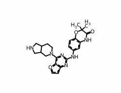 CC1(C)Oc2ccc(Nc3nc(N4CCC5CNCC5C4)c4occc4n3)cc2NC1=O